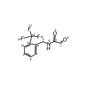 O=CC(=O)NCc1ccccc1C(F)(F)F